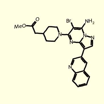 COC(=O)CC1CCN(c2nc3c(-c4cnc5ccccc5c4)cnn3c(N)c2Br)CC1